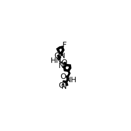 O=C(Cc1ccc2oc(Nc3nc4cc(F)ccc4o3)nc2c1)Nc1cnoc1